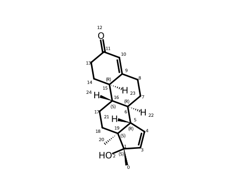 C[C@]1(O)C=C[C@H]2[C@@H]3CCC4=CC(=O)CC[C@@H]4[C@H]3CC[C@@]21C